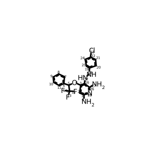 Nc1cc(OC(c2ccccc2)C(F)(F)F)c(NNc2ccc(Cl)cc2)c(N)n1